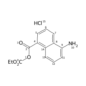 CCOC(=O)OC(=O)c1cccc2c(N)cccc12.Cl